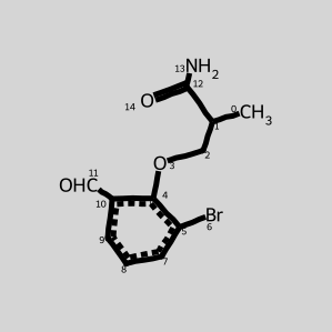 CC(COc1c(Br)cccc1C=O)C(N)=O